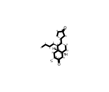 CCCC[C@H]1[C@H]([C@@H]2CCC(=O)C2)CC[C@H]2CC(=O)[C@H](C)C[C@@H]21